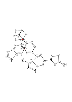 N#Cc1cnn2cc(N3CCC(O)C3)cc(-c3ccc(N4CC5CC(C4)N5Cc4cnc5[nH]ccc5c4)nc3)c12